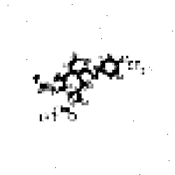 CC(C)(C)OC(=O)N1CC(c2nn(-c3ccc(OC(F)(F)F)cc3)c3nccc(-c4cnn(C(F)F)c4)c23)C1